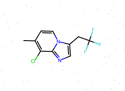 Cc1ccn2c(CC(F)(F)F)cnc2c1Cl